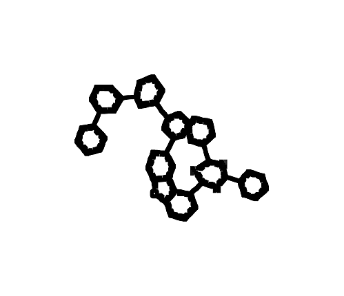 c1ccc(-c2cccc(-c3cccc(-c4cccc(-c5ccc6oc7cccc(-c8nc(-c9ccccc9)nc(-c9ccccc9)n8)c7c6c5)c4)c3)c2)cc1